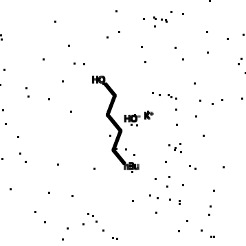 CCCCCCCCO.[K+].[OH-]